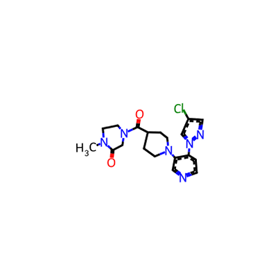 CN1CCN(C(=O)C2CCN(c3cnccc3-n3cc(Cl)cn3)CC2)CC1=O